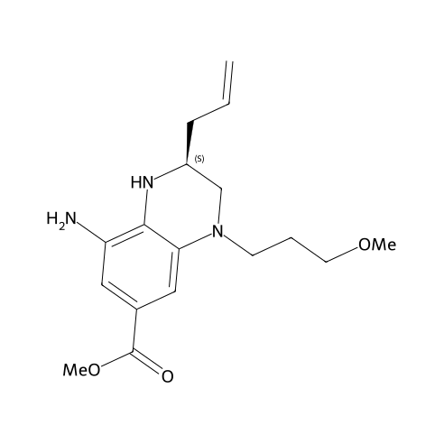 C=CC[C@H]1CN(CCCOC)c2cc(C(=O)OC)cc(N)c2N1